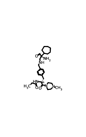 CCC(=O)N[C@H](Cc1ccc(CNC[C@@](N)(C=O)C2CCCCCC2)cc1)C(=O)N1CCN(C)CC1